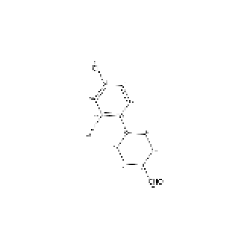 O=CC1CCC(c2ccc(Cl)cc2F)CC1